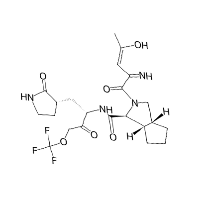 C/C(O)=C/C(=N)C(=O)N1C[C@@H]2CCC[C@@H]2[C@H]1C(=O)N[C@@H](C[C@@H]1CCNC1=O)C(=O)COC(F)(F)F